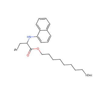 CCCCCCCCCCCCCCCCCCOC(=O)C(CC(C)C)Nc1cccc2ccccc12